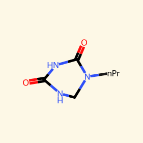 CCCN1CNC(=O)NC1=O